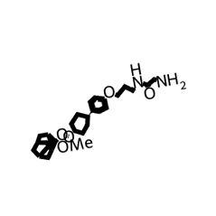 COC1(OO[C@H]2CC[C@@H](c3ccc(OCCCNC(=O)CN)cc3)CC2)C2CC3CC(C2)CC1C3